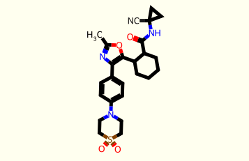 Cc1nc(-c2ccc(N3CCS(=O)(=O)CC3)cc2)c(C2CCCCC2C(=O)NC2(C#N)CC2)o1